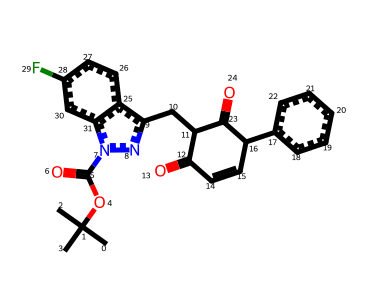 CC(C)(C)OC(=O)n1nc(CC2C(=O)C=CC(c3ccccc3)C2=O)c2ccc(F)cc21